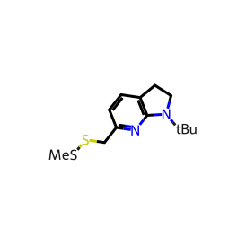 CSSCc1ccc2c(n1)N(C(C)(C)C)CC2